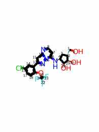 OC[C@H]1C[C@@H](Nc2ccnc3cc(-c4cc(Cl)ccc4OC(F)(F)F)nn23)[C@H](O)[C@@H]1O